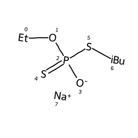 CCOP([O-])(=S)SC(C)CC.[Na+]